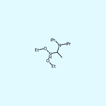 CCO[SiH](OCC)C(C)N(C(C)C)C(C)C